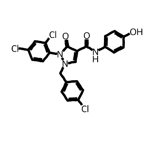 O=C(Nc1ccc(O)cc1)c1cn(Cc2ccc(Cl)cc2)n(-c2ccc(Cl)cc2Cl)c1=O